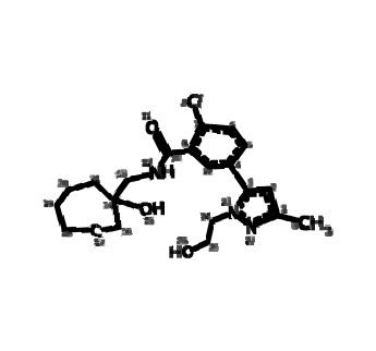 Cc1cc(-c2ccc(Cl)c(C(=O)NCC3(O)CCCCCC3)c2)n(CCO)n1